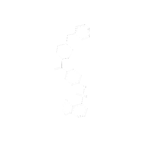 O=C(c1ccc(NS(=O)(=O)c2cccc3nonc23)cc1)N1CCN(Cc2ccccc2)CC1